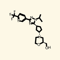 CC(C)n1nc(-c2ccc(C(F)(F)F)nc2)nc1[C@H]1CC[C@H](N2CCO[C@H](CO)C2)C1